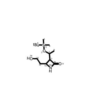 CC(O[Si](C)(C)C(C)(C)C)C1C(=O)NC1CCO